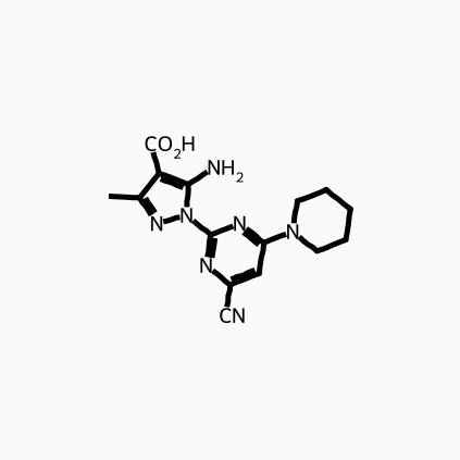 Cc1nn(-c2nc(C#N)cc(N3CCCCC3)n2)c(N)c1C(=O)O